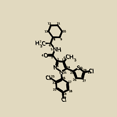 Cc1c(C(=O)N[C@@H](C)C2CCCCC2)nn(-c2ccc(Cl)cc2Cl)c1-c1ccc(Cl)s1